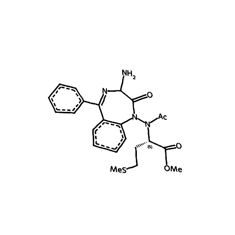 COC(=O)[C@H](CCSC)N(C(C)=O)N1C(=O)C(N)N=C(c2ccccc2)c2ccccc21